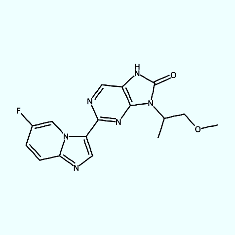 COCC(C)n1c(=O)[nH]c2cnc(-c3cnc4ccc(F)cn34)nc21